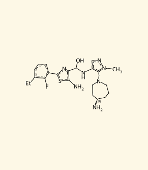 CCc1cccc(-c2nc(C(O)Nc3cnn(C)c3N3CCC[C@@H](N)CC3)c(N)s2)c1F